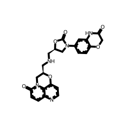 O=C1COc2ccc(N3C[C@@H](CNC[C@@H]4Cn5c(=O)ccc6nccc(c65)O4)OC3=O)cc2N1